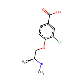 CN[C@@H](C)COc1ccc(C(=O)O)cc1Cl